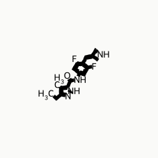 CCc1n[nH]c(C(=O)Nc2cc(F)c(C=C3CNC3)c(F)c2)c1C